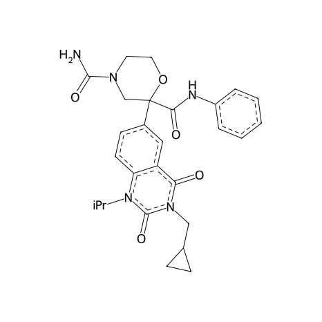 CC(C)n1c(=O)n(CC2CC2)c(=O)c2cc(C3(C(=O)Nc4ccccc4)CN(C(N)=O)CCO3)ccc21